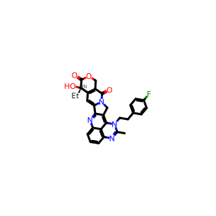 CC[C@@]1(O)C(=O)OCc2c1cc1n(c2=O)Cc2c-1nc1cccc3c1c2N(CCc1ccc(F)cc1)C(C)=N3